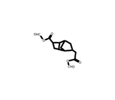 O=COC(=O)CC1CC2CC1C1CC(C(=O)OC=O)C21